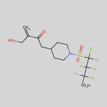 C=C(CO)C(=O)CC1CCN(S(=O)(=O)C(F)(F)C(F)(F)C(F)(F)S(=O)(=O)O)CC1